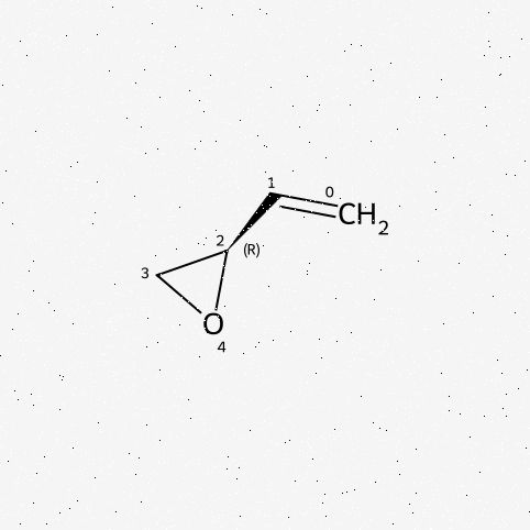 C=C[C@@H]1CO1